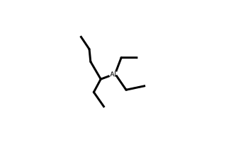 CCC[CH](CC)[Al]([CH2]C)[CH2]C